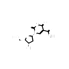 NC(=O)c1cn([C@H]2C[C@@H](O)[C@H](CO)O2)c(=O)[nH]c1=O